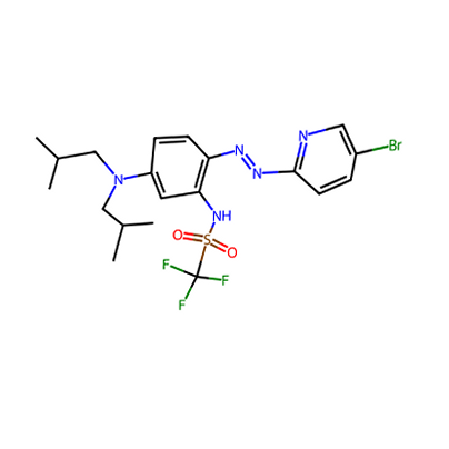 CC(C)CN(CC(C)C)c1ccc(N=Nc2ccc(Br)cn2)c(NS(=O)(=O)C(F)(F)F)c1